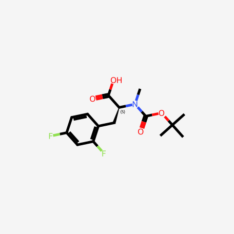 CN(C(=O)OC(C)(C)C)[C@@H](Cc1ccc(F)cc1F)C(=O)O